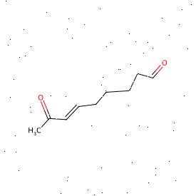 CC(=O)C=CCCCCC=O